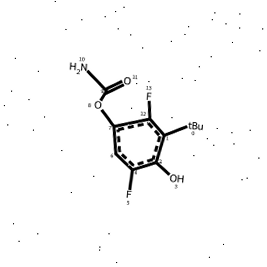 CC(C)(C)c1c(O)c(F)cc(OC(N)=O)c1F